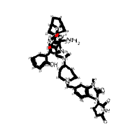 CN(Cc1cnc(N2C3CCC2CN(c2cc(-c4ccccc4O)nnc2N)C3)nc1)C1CCN(Cc2ccc3c(c2)n(C)c(=O)n3C2CCC(=O)NC2=O)CC1